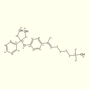 C/C(=C\CCCCC(C)(C)O)c1ccc(OC(CO)(CO)c2ccccc2)cc1